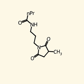 CCCC(=O)NCCCN1C(=O)CC(C)C1=O